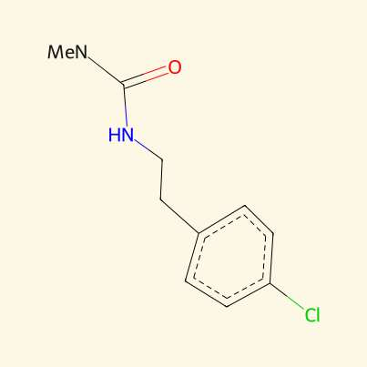 CNC(=O)NCCc1ccc(Cl)cc1